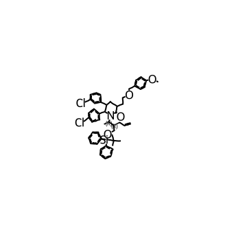 C=CC[C@@H](CO[Si](c1ccccc1)(c1ccccc1)C(C)(C)C)[C@@H](C)N1C(=O)C(CCOCc2ccc(OC)cc2)CC(c2cccc(Cl)c2)C1c1ccc(Cl)cc1